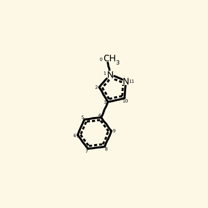 Cn1cc(-c2c[c]ccc2)cn1